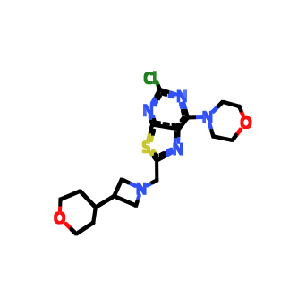 Clc1nc(N2CCOCC2)c2nc(CN3CC(C4CCOCC4)C3)sc2n1